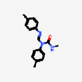 CNC(=O)N(C=Nc1ccc(C)cc1)c1ccc(C)cc1